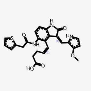 COc1cc[nH]c1/C=C1\C(=O)Nc2ccc(NC(=O)Cc3cccs3)c(/C=C\CCC(=O)O)c21